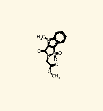 COC(=O)CN1C(=O)c2c(c3ccccc3n2C)S1(=O)=O